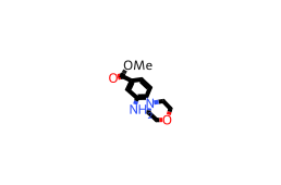 COC(=O)c1ccc(N2CCOCC2)c(N)c1